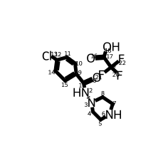 O=C(NN1CCNCC1)c1ccc(Cl)cc1.O=C(O)C(F)(F)F